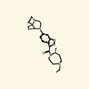 CCN1CCC(C)N(C(=O)c2nsc3cc(N4CCN5CCC56CCC46)ccc23)CC1